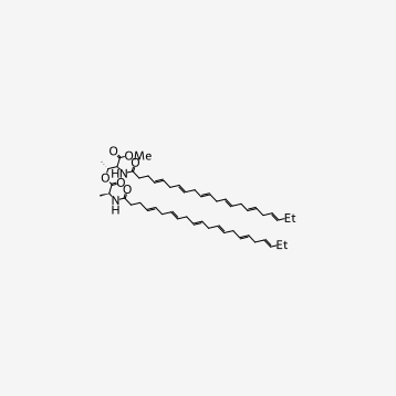 CCC=CCC=CCC=CCC=CCC=CCC=CCCC(=O)N[C@@H](C)C(=O)O[C@H](C)[C@H](NC(=O)CCC=CCC=CCC=CCC=CCC=CCC=CCC)C(=O)OC